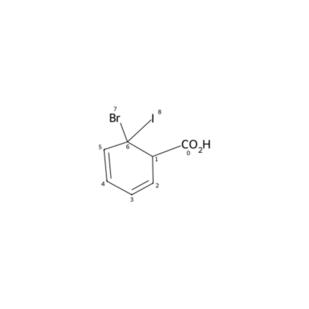 O=C(O)C1C=CC=CC1(Br)I